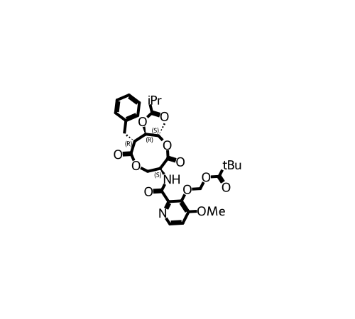 COc1ccnc(C(=O)N[C@H]2COC(=O)[C@H](Cc3ccccc3)[C@@H](OC(=O)C(C)C)[C@H](C)OC2=O)c1OCOC(=O)C(C)(C)C